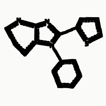 c1ccc(-n2c(-c3cccs3)nc3ncccc32)cc1